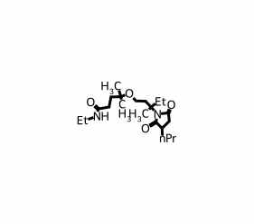 CCCC1CC(=O)N(C(C)(CC)CCOC(C)(C)CCC(=O)NCC)C1=O